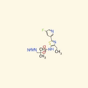 CCc1nc(-c2cncc(F)c2)sc1NC(=O)OC(C)(C)CN=[N+]=[N-]